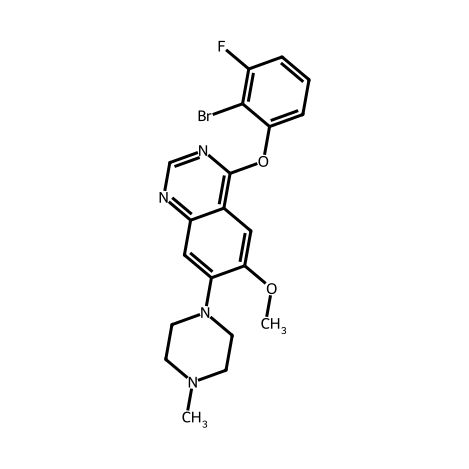 COc1cc2c(Oc3cccc(F)c3Br)ncnc2cc1N1CCN(C)CC1